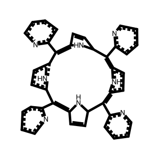 C1=CC2N/C1=C(/c1ccccn1)c1ccc([nH]1)/C(c1ccccn1)=C1/C=CC(N1)/C(c1ccccn1)=c1/cc/c([nH]1)=C/2c1ccccn1